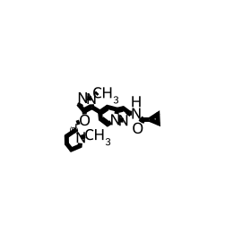 CN1CCCC[C@@H]1COc1cnn(C)c1-c1ccn2nc(NC(=O)C3CC3)cc2c1